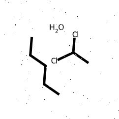 CC(Cl)Cl.CCCCC.O